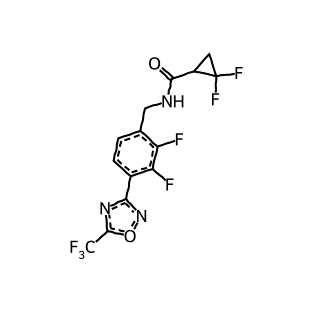 O=C(NCc1ccc(-c2noc(C(F)(F)F)n2)c(F)c1F)C1CC1(F)F